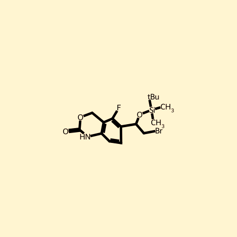 CC(C)(C)[Si](C)(C)OC(CBr)c1ccc2c(c1F)COC(=O)N2